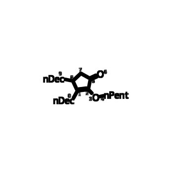 CCCCCCCCCCC1=C(OCCCCC)C(=O)CC1CCCCCCCCCC